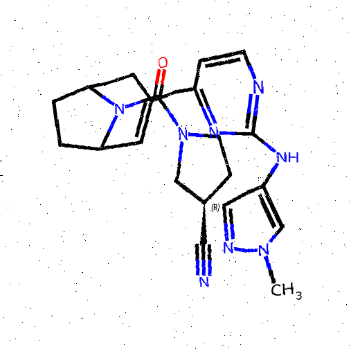 Cn1cc(Nc2nccc(C3=CC4CCC(C3)N4C(=O)N3CC[C@@H](C#N)C3)n2)cn1